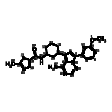 COc1nccc(-c2cc(N3CCCC(NC(=O)c4cnc(C)s4)C3)c3c(N)ncnn23)n1